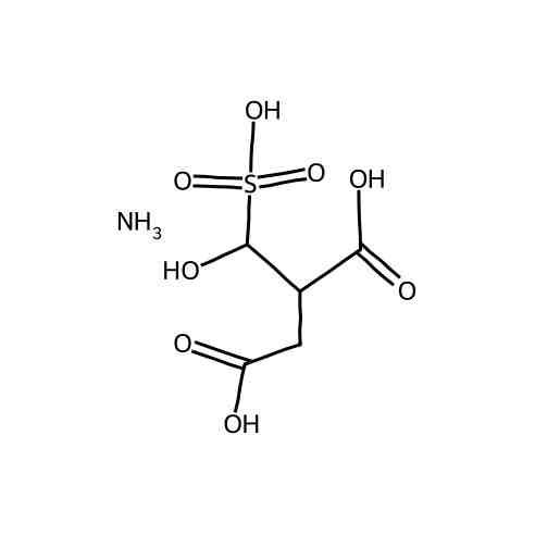 N.O=C(O)CC(C(=O)O)C(O)S(=O)(=O)O